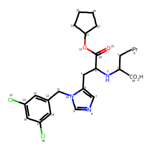 CC(C)CC(NC(Cc1cncn1Cc1cc(Cl)cc(Cl)c1)C(=O)OC1CCCC1)C(=O)O